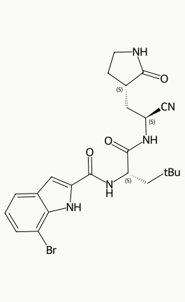 CC(C)(C)C[C@H](NC(=O)c1cc2cccc(Br)c2[nH]1)C(=O)N[C@H](C#N)C[C@@H]1CCNC1=O